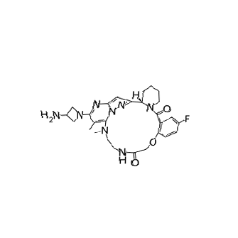 Cc1c(N2CC(N)C2)nc2cc3nn2c1N(C)CCNC(=O)COc1ccc(F)cc1C(=O)N1CCCC[C@@H]31